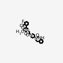 Cn1c(=O)c(-c2cccc(F)c2Cl)cn(CC(=O)N2CCC(N3CCc4ccccc4NC3=O)CC2)c1=O